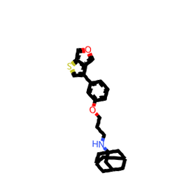 c1cc(OCCCNC23CC4CC(CC(C4)C2)C3)cc(-c2csc3cocc23)c1